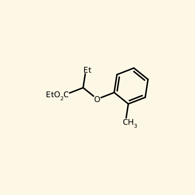 CCOC(=O)C(CC)Oc1ccccc1C